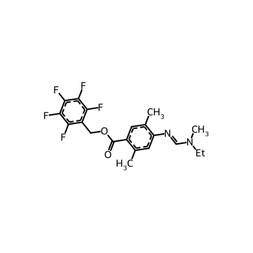 CCN(C)/C=N/c1cc(C)c(C(=O)OCc2c(F)c(F)c(F)c(F)c2F)cc1C